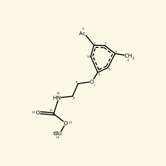 CC(=O)c1cc(C)cc(OCCNC(=O)OC(C)(C)C)c1